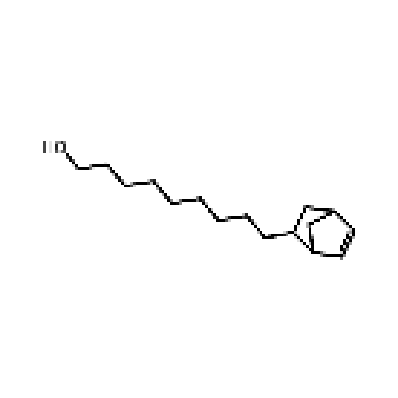 OCCCCCCCCCC1CC2C=CC1C2